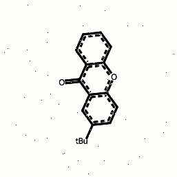 CC(C)(C)c1ccc2oc3ccccc3c(=O)c2c1